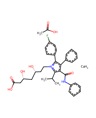 CC(=O)O.CC(C)c1c(C(=O)Nc2ccccc2)c(-c2ccccc2)c(-c2ccc(F)cc2)n1CC[C@@H](O)C[C@@H](O)CC(=O)O.[CaH2]